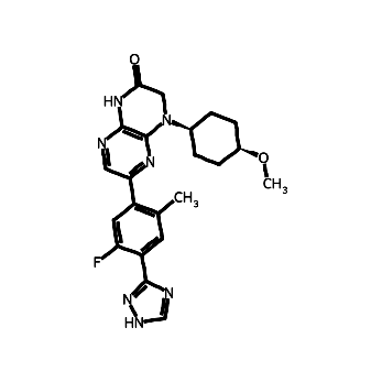 CO[C@H]1CC[C@@H](N2CC(=O)Nc3ncc(-c4cc(F)c(-c5nc[nH]n5)cc4C)nc32)CC1